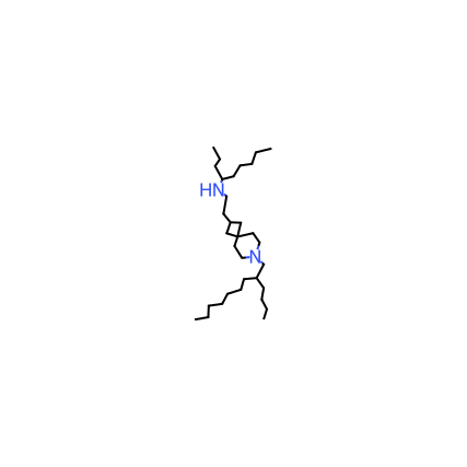 CCCCCCCC(CCCC)CN1CCC2(CC1)CC(CCNC(CCC)CCCCC)C2